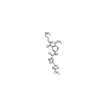 COc1ccc(NC(=O)c2cc(-c3csc(C)n3)on2)cc1C(=O)NCCCN